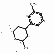 COc1cccc(C2CCCC(C#N)C2)c1